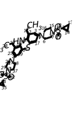 CCc1cc(N2CCN(S(=O)(=O)C3CC3)CC2)cc2c1Nc1c(CC)cc(N3CCN(S(=O)(=O)C4CC4)CC3)cc1S2